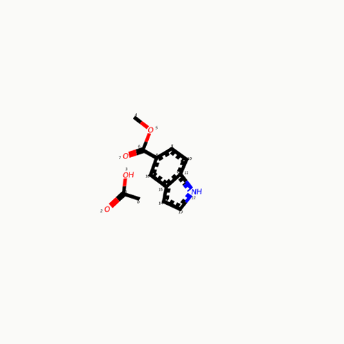 CC(=O)O.COC(=O)c1ccc2[nH]ccc2c1